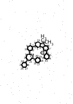 CC1(C)C2=C(C=C(c3cccc(C4=NC(c5ccccc5)=CC(c5ccccc5)=C=C4)c3)CC2)c2c1ccc1c2oc2ccccc21